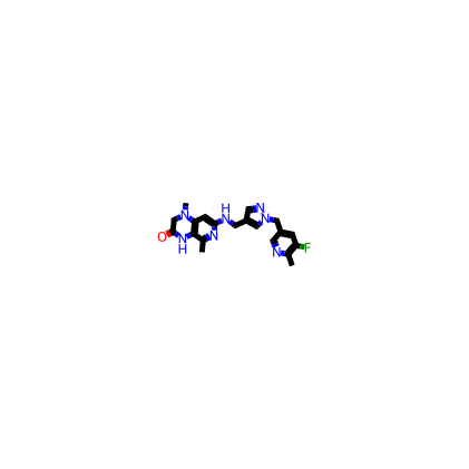 Cc1ncc(Cn2cc(CNc3cc4c(c(C)n3)NC(=O)CN4C)cn2)cc1F